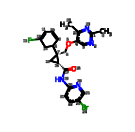 Cc1ncc(OC[C@@]2(C3C=CC=C(F)C3)C[C@H]2C(=O)Nc2ccc(Br)cn2)c(C)n1